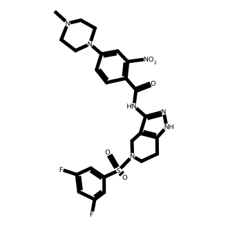 CN1CCN(c2ccc(C(=O)Nc3n[nH]c4c3CN(S(=O)(=O)c3cc(F)cc(F)c3)CC4)c([N+](=O)[O-])c2)CC1